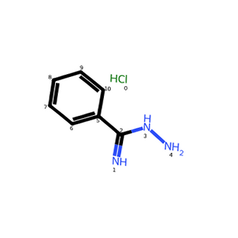 Cl.N=C(NN)c1ccccc1